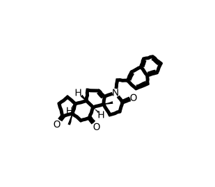 C[C@]12CCC(=O)N(Cc3ccc4ccccc4c3)C1=CC[C@@H]1[C@@H]2C(=O)C[C@]2(C)C(=O)CC[C@@H]12